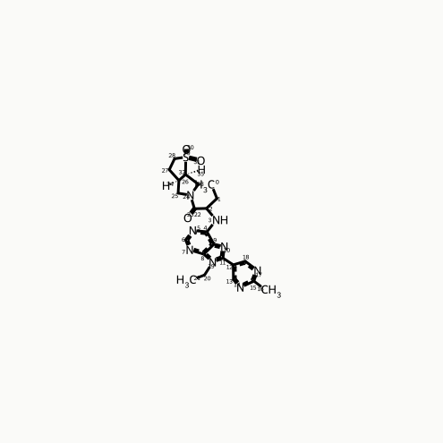 CCC(Nc1ncnc2c1nc(-c1cnc(C)nc1)n2CC)C(=O)N1C[C@H]2CCS(=O)(=O)[C@H]2C1